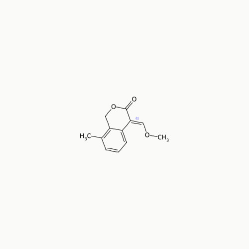 CO/C=C1/C(=O)OCc2c(C)cccc21